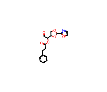 O=CC(OC(=O)CCc1ccccc1)C1COC(c2ncco2)O1